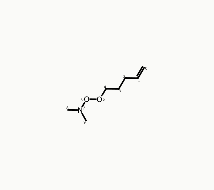 C=CCCCOON(C)C